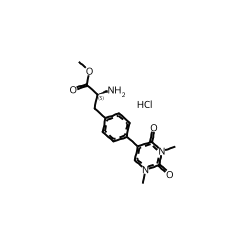 COC(=O)[C@@H](N)Cc1ccc(-c2cn(C)c(=O)n(C)c2=O)cc1.Cl